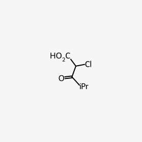 CC(C)C(=O)C(Cl)C(=O)O